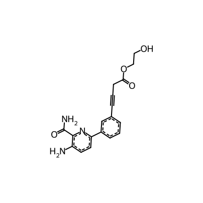 NC(=O)c1nc(-c2cccc(C#CCC(=O)OCCO)c2)ccc1N